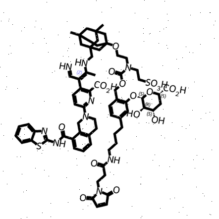 C/C(NCC12CC3(C)CC(C)(C1)CC(OCCN(CCS(=O)(=O)O)C(=O)OCc1ccc(CCCCNC(=O)CCN4C(=O)C=CC4=O)cc1O[C@@H]1O[C@H](C(=O)O)C[C@H](O)[C@H]1O)(C3)C2)=C(/C=N)c1ccc(N2CCc3cccc(C(=O)Nc4nc5ccccc5s4)c3C2)nc1C(=O)O